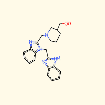 OCC1CCCN(Cc2nc3ccccc3n2Cc2nc3ccccc3[nH]2)C1